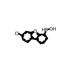 OBc1cccc2c1oc1cc(Cl)ccc12